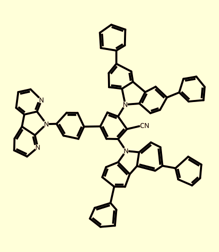 N#Cc1c(-n2c3ccc(-c4ccccc4)cc3c3cc(-c4ccccc4)ccc32)cc(-c2ccc(-n3c4ncccc4c4cccnc43)cc2)cc1-n1c2ccc(-c3ccccc3)cc2c2cc(-c3ccccc3)ccc21